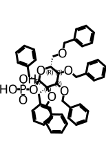 O=P(O)(O)O[C@@]1(Cc2ccccc2)O[C@H](COCc2ccccc2)[C@@H](OCc2ccccc2)[C@@H](OCc2ccccc2)[C@@]1(Cc1ccccc1)OCc1ccccc1